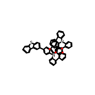 c1ccc(N(c2ccc(-c3ccc4sc5ccccc5c4c3)cc2)c2ccc(-c3ccccc3-n3c4ccccc4c4ccccc43)cc2)c(-c2cccc3oc4c5ccccc5ccc4c23)c1